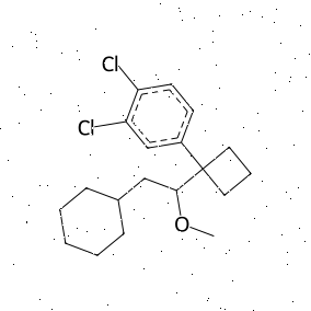 COC(CC1CCCCC1)C1(c2ccc(Cl)c(Cl)c2)CCC1